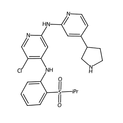 CC(C)S(=O)(=O)c1ccccc1Nc1cc(Nc2cc(C3CCNC3)ccn2)ncc1Cl